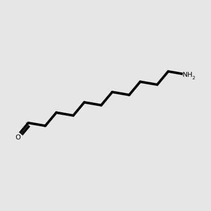 NCCCCCCCCCC[C]=O